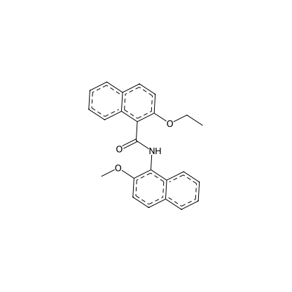 CCOc1ccc2ccccc2c1C(=O)Nc1c(OC)ccc2ccccc12